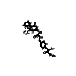 COC(=O)C(F)c1ccc(CNC(=O)NC2=CC(Cl)=C(c3ccccc3)C(Cl)(C(F)(F)F)C2)cc1